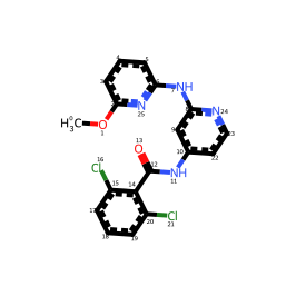 COc1cccc(Nc2cc(NC(=O)c3c(Cl)cccc3Cl)ccn2)n1